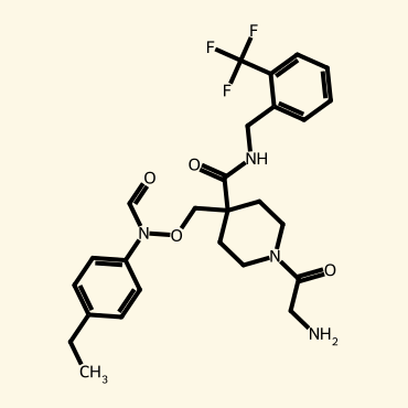 CCc1ccc(N(C=O)OCC2(C(=O)NCc3ccccc3C(F)(F)F)CCN(C(=O)CN)CC2)cc1